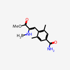 BN/C(=C\c1c(C)cc(C(N)=O)cc1C)C(=O)OC